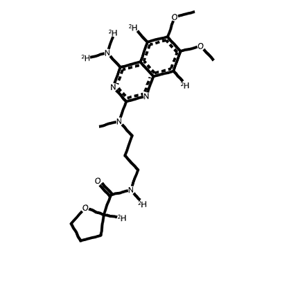 [2H]c1c(OC)c(OC)c([2H])c2c(N([2H])[2H])nc(N(C)CCCN([2H])C(=O)C3([2H])CCCO3)nc12